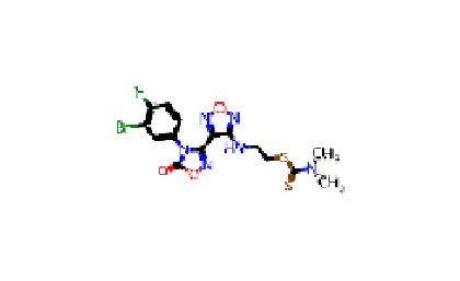 CN(C)C(=S)SCCNc1nonc1-c1noc(=O)n1-c1ccc(F)c(Br)c1